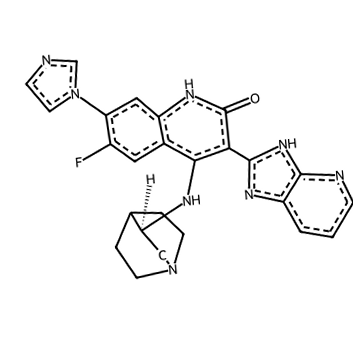 O=c1[nH]c2cc(-n3ccnc3)c(F)cc2c(N[C@H]2CN3CCC2CC3)c1-c1nc2cccnc2[nH]1